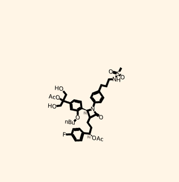 CCCCOc1cc(C(CO)(CO)OC(C)=O)ccc1[C@@H]1C(CC[C@H](OC(C)=O)c2ccc(F)cc2)C(=O)N1c1ccc(CCCNS(C)(=O)=O)cc1